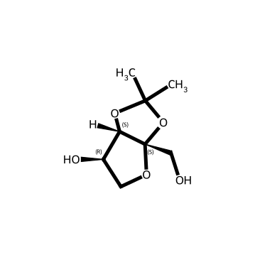 CC1(C)O[C@H]2[C@H](O)CO[C@@]2(CO)O1